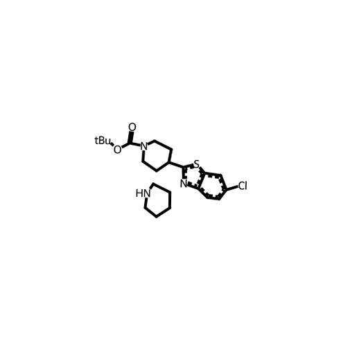 C1CCNCC1.CC(C)(C)OC(=O)N1CCC(c2nc3ccc(Cl)cc3s2)CC1